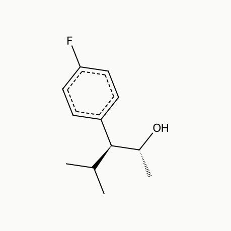 CC(C)[C@@H](c1ccc(F)cc1)[C@@H](C)O